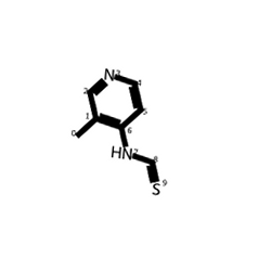 Cc1cnccc1NC=S